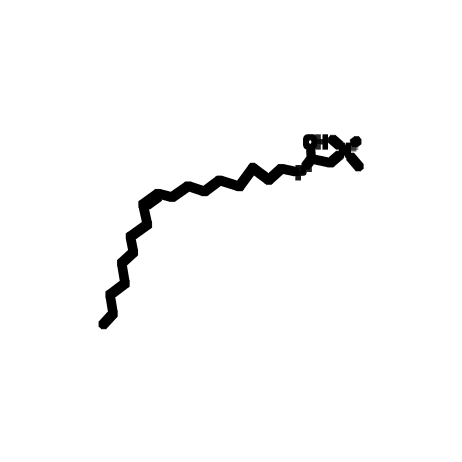 CCCCCCCC/C=C\CCCCCCCC[P-]C(O)C[N+](C)(C)C